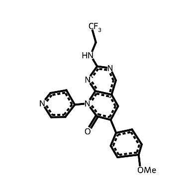 COc1ccc(-c2cc3cnc(NCC(F)(F)F)nc3n(-c3ccncc3)c2=O)cc1